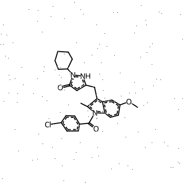 COc1ccc2c(c1)c(Cc1cc(=O)n(C3CCCCC3)[nH]1)c(C)n2C(=O)c1ccc(Cl)cc1